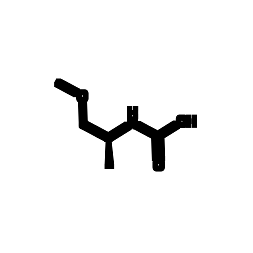 COC[C@H](C)NC(=O)O